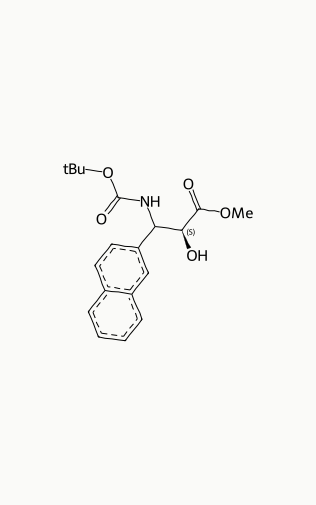 COC(=O)[C@@H](O)C(NC(=O)OC(C)(C)C)c1ccc2ccccc2c1